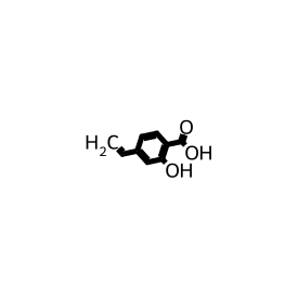 C=Cc1ccc(C(=O)O)c(O)c1